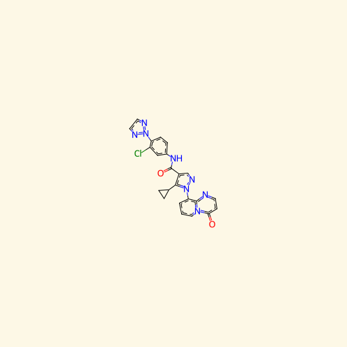 O=C(Nc1ccc(-n2nccn2)c(Cl)c1)c1cnn(-c2cccn3c(=O)ccnc23)c1C1CC1